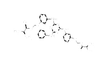 C=C(C)C(=O)OCOc1cccc(Nc2nc(Nc3ccccc3)nc(Nc3cccc(OCOC(=O)C(=C)C)c3)n2)c1